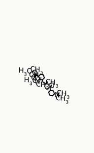 CC(CC1CCCC(C(=O)OC(C)(C)C)C1N(C)C)OC(=O)C1CCCC(N(C)C)C1